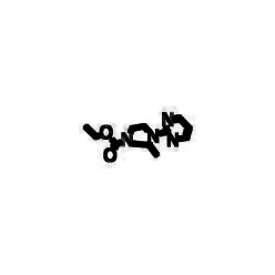 CCOC(=O)N1CCN(c2ncccn2)C(C)C1